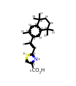 CC(=Cc1nc(C(=O)O)cs1)c1cc2c(cc1C)C(C)(C)CCC2(C)C